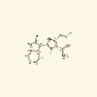 CC=Cc1nc(-c2c(C)nn3ccccc23)sc1C(N)=O